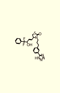 O=C1SCC(/C=C/C(O)C(F)(F)c2ccccc2)N1CCCc1cccc(-c2nnn[nH]2)c1